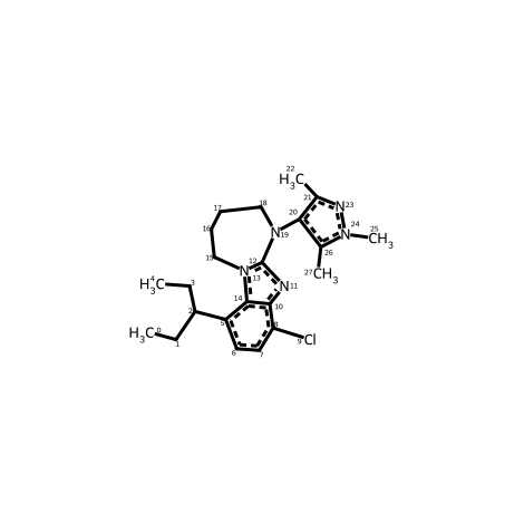 CCC(CC)c1ccc(Cl)c2nc3n(c12)CCCCN3c1c(C)nn(C)c1C